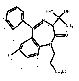 CCOC(=O)CCN1C(=O)[C@H](C(C)(C)O)N=C(c2ccccc2)c2cc(Cl)ccc21